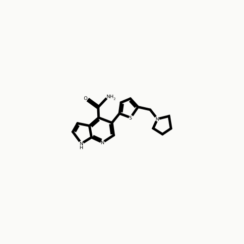 NC(=O)c1c(-c2ccc(CN3CCCC3)s2)cnc2[nH]c[c]c12